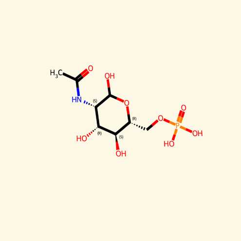 CC(=O)N[C@@H]1C(O)O[C@H](COP(=O)(O)O)[C@@H](O)[C@@H]1O